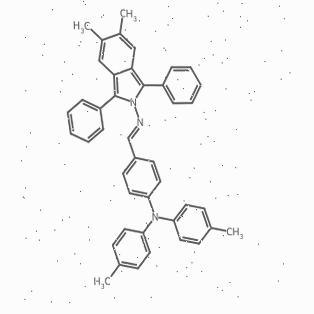 Cc1ccc(N(c2ccc(C)cc2)c2ccc(C=Nn3c(-c4ccccc4)c4cc(C)c(C)cc4c3-c3ccccc3)cc2)cc1